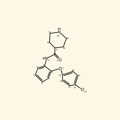 O=C(Nc1ccccc1Oc1ccc(Cl)cc1)C1CCNCC1